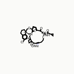 CO[C@H]1/C=C/CCC[S@@](=O)(NC(=O)C2CC2)=NC(=O)c2ccc3c(c2)N(C[C@@H]2CC[C@H]21)C[C@@]1(CCCc2cc(Cl)ccc21)CO3